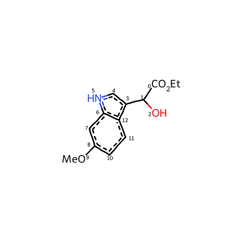 CCOC(=O)C(O)c1c[nH]c2cc(OC)ccc12